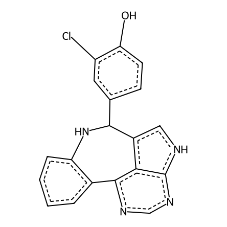 Oc1ccc(C2Nc3ccccc3-c3ncnc4[nH]cc2c34)cc1Cl